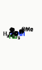 COc1ccc(NC2CCC(C(c3ccccc3)N(C)C)CC2)cc1.Cl